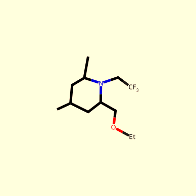 CCOCC1CC(C)CC(C)N1CC(F)(F)F